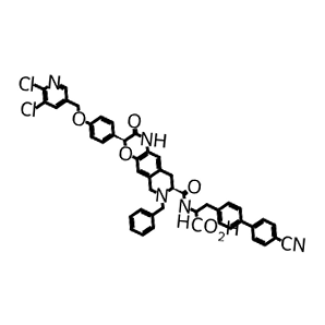 N#Cc1ccc(-c2ccc(CC(NC(=O)[C@@H]3Cc4cc5c(cc4CN3Cc3ccccc3)O[C@@H](c3ccc(OCc4cnc(Cl)c(Cl)c4)cc3)C(=O)N5)C(=O)O)cc2)cc1